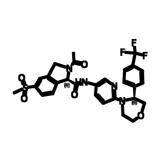 CC(=O)N1Cc2cc(S(C)(=O)=O)ccc2[C@@H]1C(=O)Nc1ccc(N2CCOC[C@@H]2c2ccc(C(F)(F)F)cc2)nc1